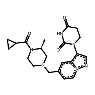 C[C@H]1CN(Cc2ccn3ncc(N4CCC(=O)NC4=O)c3c2)CCN1C(=O)C1CC1